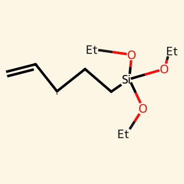 C=C[CH]CC[Si](OCC)(OCC)OCC